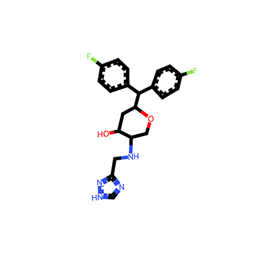 OC1CC(C(c2ccc(F)cc2)c2ccc(F)cc2)OCC1NCc1nc[nH]n1